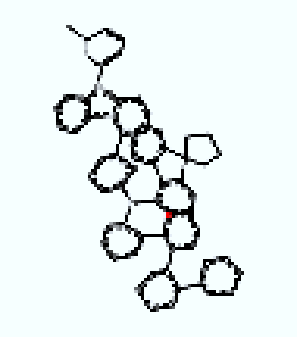 CC1C=CC=C(n2c3ccccc3c3c(-c4cccc(N(c5ccccc5-c5ccccc5-c5ccccc5-c5ccccc5)c5cccc6c5-c5ccccc5C65CCCC5)c4)cccc32)C1